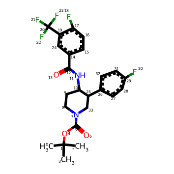 CC(C)(C)OC(=O)N1CCC(NC(=O)c2ccc(F)c(C(F)(F)F)c2)C(c2ccc(F)cc2)C1